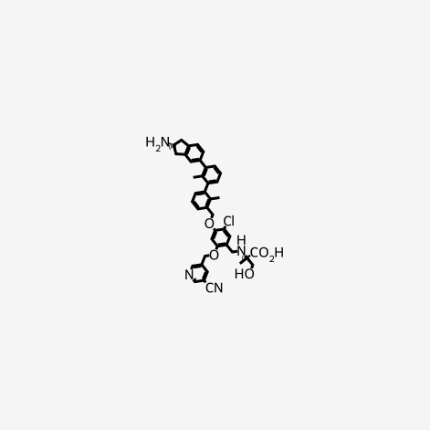 Cc1c(COc2cc(OCc3cncc(C#N)c3)c(CN[C@@](C)(CO)C(=O)O)cc2Cl)cccc1-c1cccc(-c2ccc3c(c2)C[C@H](N)C3)c1C